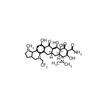 CN1CCC2CN(CC(F)(F)F)c3c(cc(O)c4c3C[C@H]3C[C@H]5[C@@H](N(C)C)C(O)=C(C(N)=O)C(=O)[C@@]5(O)C(O)=C3C4=O)C21